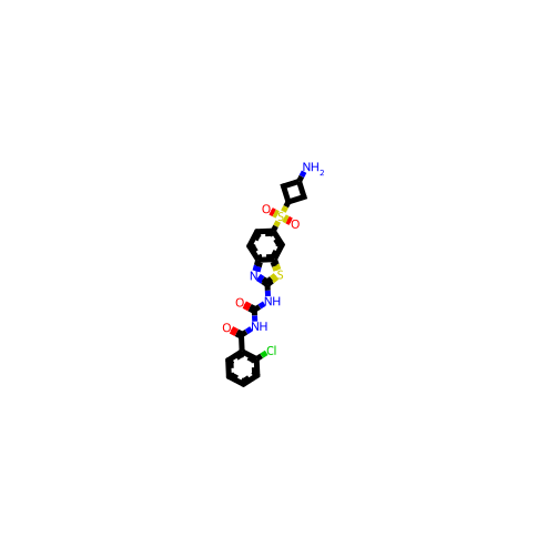 NC1CC(S(=O)(=O)c2ccc3nc(NC(=O)NC(=O)c4ccccc4Cl)sc3c2)C1